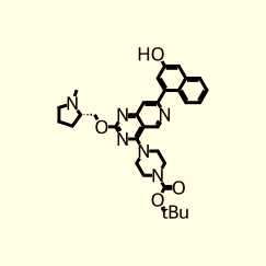 CN1CCC[C@H]1COc1nc(N2CCN(C(=O)OC(C)(C)C)CC2)c2cnc(-c3cc(O)cc4ccccc34)cc2n1